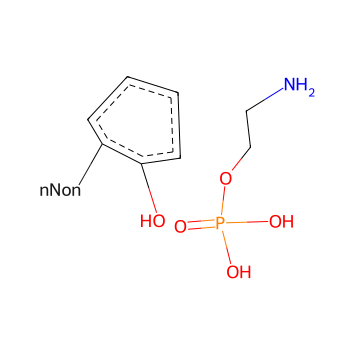 CCCCCCCCCc1ccccc1O.NCCOP(=O)(O)O